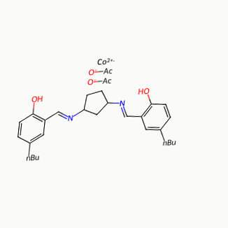 CC(=O)[O-].CC(=O)[O-].CCCCc1ccc(O)c(C=NC2CCC(N=Cc3cc(CCCC)ccc3O)C2)c1.[Co+2]